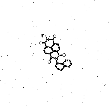 CC(C)N1C(=O)c2ccc3c4c(ccc(c24)C1=O)C(=O)N(c1cccc2ccccc12)C3=O